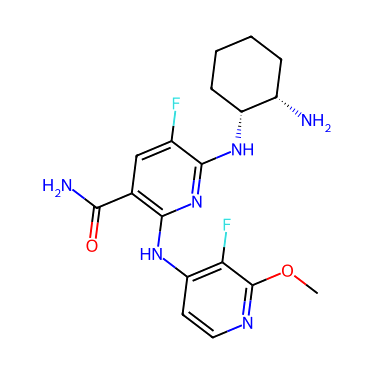 COc1nccc(Nc2nc(N[C@@H]3CCCC[C@@H]3N)c(F)cc2C(N)=O)c1F